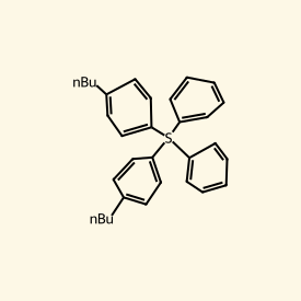 CCCCc1ccc(S(c2ccccc2)(c2ccccc2)c2ccc(CCCC)cc2)cc1